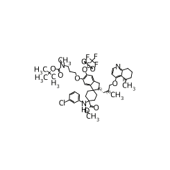 COC(=O)C1(Nc2cccc(Cl)c2)CCC2(CC1)c1cc(OCCCN(C)C(=O)OC(C)(C)C)c(OS(=O)(=O)C(F)(F)F)cc1C[C@@H]2C[C@@H](C)COc1ccnc2c1[C@H](C)CCC2